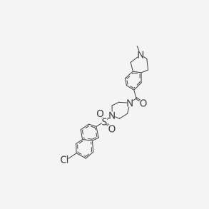 CN1CCc2cc(C(=O)N3CCN(S(=O)(=O)c4ccc5cc(Cl)ccc5c4)CC3)ccc2C1